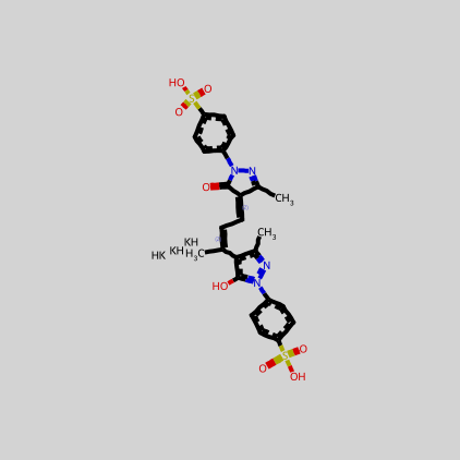 CC1=NN(c2ccc(S(=O)(=O)O)cc2)C(=O)/C1=C\C=C(\C)c1c(C)nn(-c2ccc(S(=O)(=O)O)cc2)c1O.[KH].[KH].[KH]